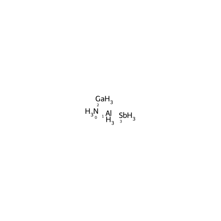 N.[AlH3].[GaH3].[SbH3]